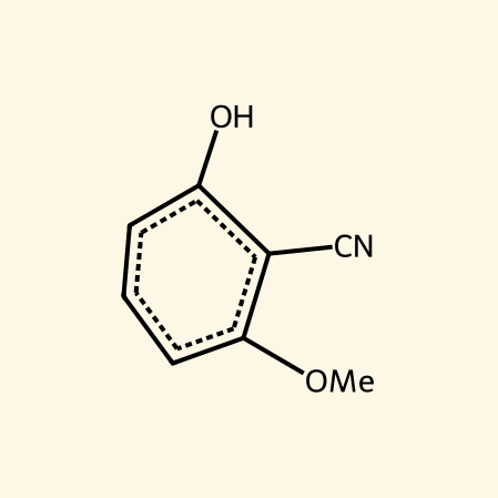 COc1cccc(O)c1C#N